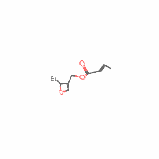 CC=CC(=O)OCC1COC1CC